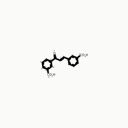 O=C(O)c1cccc(/C=C/C(=O)c2cccc(C(=O)O)c2)c1